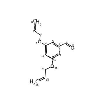 C=CCOc1cc([C]=O)cc(OCC=C)c1